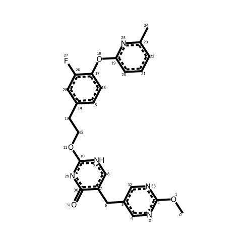 COc1ncc(Cc2c[nH]c(OCCc3ccc(Oc4cccc(C)n4)c(F)c3)nc2=O)cn1